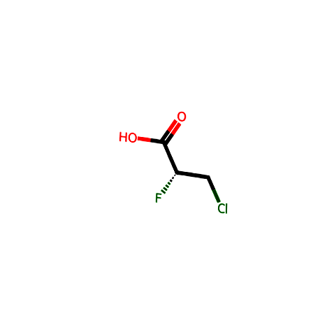 O=C(O)[C@@H](F)CCl